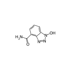 NC(=O)c1cccc2c1nnn2O